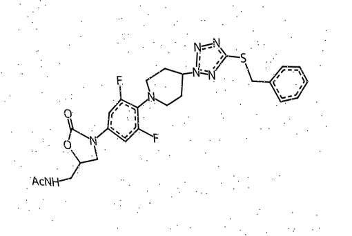 CC(=O)NCC1CN(c2cc(F)c(N3CCC(n4nnc(SCc5ccccc5)n4)CC3)c(F)c2)C(=O)O1